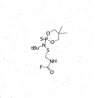 CC1(C)COP(=S)(N(SCNC(=O)F)C(C)(C)C)OC1